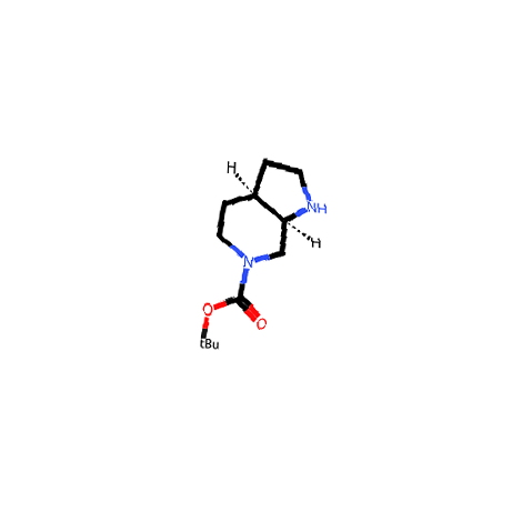 CC(C)(C)OC(=O)N1CC[C@H]2CCN[C@H]2C1